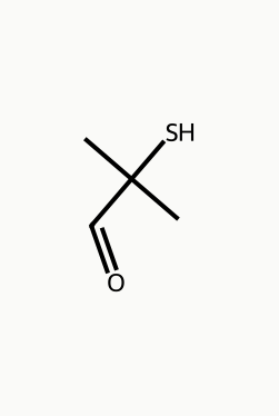 CC(C)(S)C=O